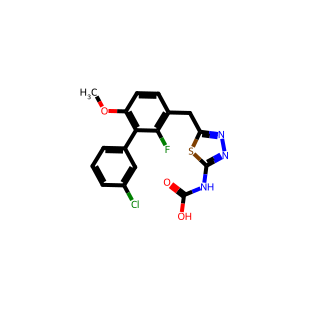 COc1ccc(Cc2nnc(NC(=O)O)s2)c(F)c1-c1cccc(Cl)c1